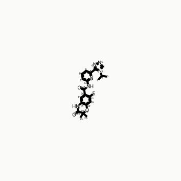 CC(C)n1cnnc1-c1cccc(NC(=O)c2cc3c(cc2F)OC(C)(C)C(=O)N3)n1